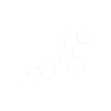 FC1(F)Oc2ccc(-c3nc4ccc5[nH]ccc5c4c4c3CCCC4)cc2O1